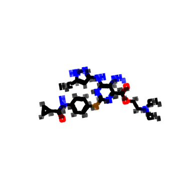 Cc1cc(Nc2nc(Sc3ccc(NC(=O)C4CC4)cc3)nc(C(=O)OCCN(C)C)c2N)n[nH]1